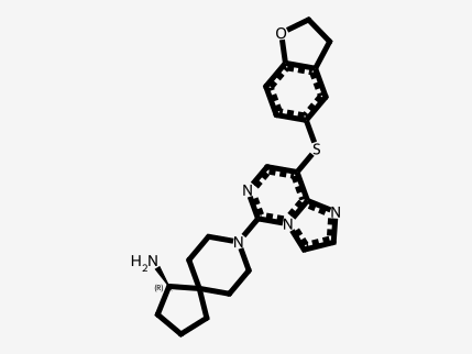 N[C@@H]1CCCC12CCN(c1ncc(Sc3ccc4c(c3)CCO4)c3nccn13)CC2